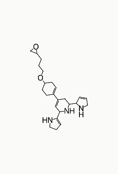 C1=CC(C2CC(C3=CCC(OCCCC4CO4)CC3)=CC(C3=CCCN3)N2)NC1